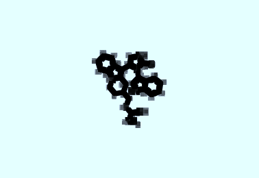 N=C(N)SCC1CCn2c(c(-c3c[nH]c(=O)n3-c3c[nH]c4ccccc34)c3ccccc32)C1